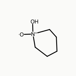 [O][N+]1(O)CCCCC1